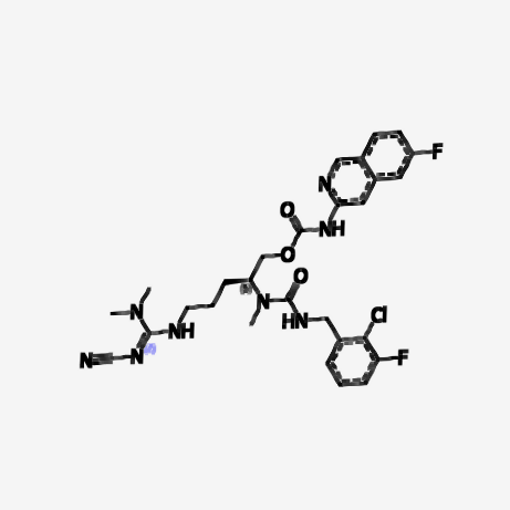 CN(C)/C(=N\C#N)NCCC[C@@H](COC(=O)Nc1cc2cc(F)ccc2cn1)N(C)C(=O)NCc1cccc(F)c1Cl